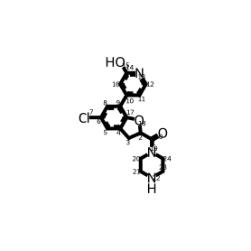 O=C(C1Cc2cc(Cl)cc(-c3ccnc(O)c3)c2O1)N1CCNCC1